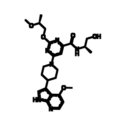 COc1ccnc2[nH]cc(C3CCN(c4cc(C(=O)N[C@H](C)CO)nc(OC[C@H](C)OC)n4)CC3)c12